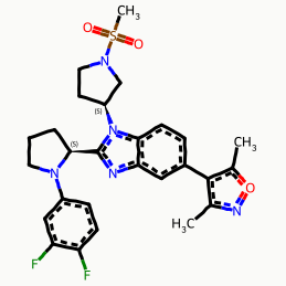 Cc1noc(C)c1-c1ccc2c(c1)nc([C@@H]1CCCN1c1ccc(F)c(F)c1)n2[C@H]1CCN(S(C)(=O)=O)C1